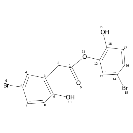 O=C(Cc1cc(Br)ccc1O)Oc1cc(Br)ccc1O